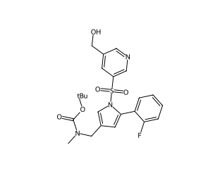 CN(Cc1cc(-c2ccccc2F)n(S(=O)(=O)c2cncc(CO)c2)c1)C(=O)OC(C)(C)C